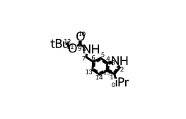 CC(C)c1c[nH]c2cc(CNC(=O)OC(C)(C)C)ccc12